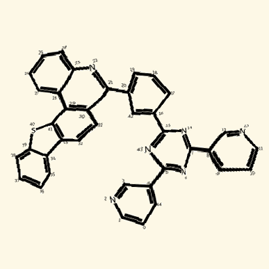 c1cncc(-c2nc(-c3cccnc3)nc(-c3cccc(-c4nc5ccccc5c5c4ccc4c6ccccc6sc45)c3)n2)c1